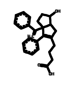 C=C(c1ccccc1)C12CCC(O)C1CC(CCCC(=O)O)=C2c1ccccc1